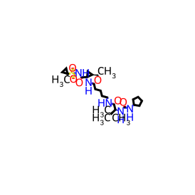 CC[C@@H]1C[C@]1(NC(=O)CCCCNC(=O)[C@@H](NC(=O)NC1CCCC1)C(C)(C)C)C(=O)NS(=O)(=O)C1(C)CC1